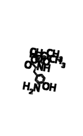 CCOC(=O)[C@H](Cc1ccc(O)c(N)c1)NC(=O)OC(C)(C)C